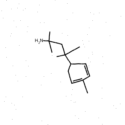 CC1=CCC(C(C)(C)CC(C)(C)N)C=C1